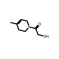 CC1=CCN(C(=O)CO)CC1